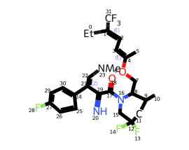 CC/C(=C\C=C(/C)OCC1C(C)CC(F)(F)CN1C(=O)C(=N)/C(=C\NC)c1ccc(F)cc1)C(F)(F)F